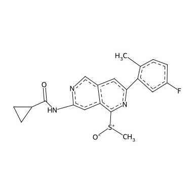 Cc1ccc(F)cc1-c1cc2cnc(NC(=O)C3CC3)cc2c([S+](C)[O-])n1